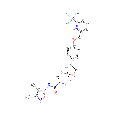 Cc1noc(NC(=O)N2CCC3(CC2)CC(c2ccc(OCc4cccc(C(F)(F)F)n4)cc2)CO3)c1C